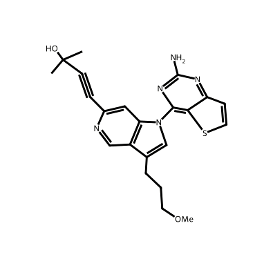 COCCCc1cn(-c2nc(N)nc3ccsc23)c2cc(C#CC(C)(C)O)ncc12